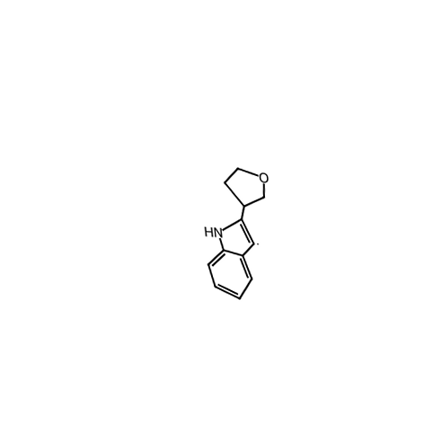 [c]1c(C2CCOC2)[nH]c2ccccc12